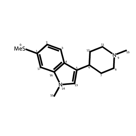 CSc1ccc2c(C3CCN(C)CC3)cn(C)c2c1